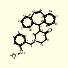 COc1ccccc1CN1CCC(=O)C(C2c3ccccc3C=Cc3ccccc32)C1